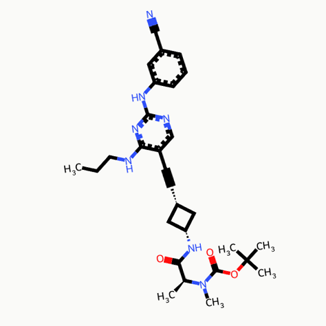 CCCNc1nc(Nc2cccc(C#N)c2)ncc1C#C[C@H]1C[C@@H](NC(=O)[C@H](C)N(C)C(=O)OC(C)(C)C)C1